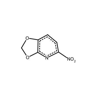 O=[N+]([O-])c1ccc2c(n1)OCO2